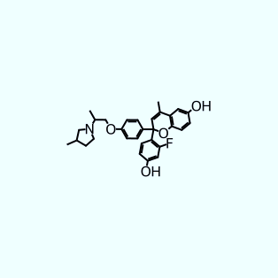 CC1=CC(c2ccc(OCC(C)N3CCC(C)C3)cc2)(c2ccc(O)cc2F)Oc2ccc(O)cc21